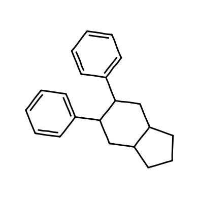 c1ccc(C2C[C]3CCCC3CC2c2ccccc2)cc1